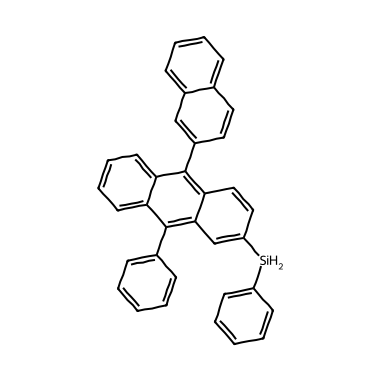 c1ccc([SiH2]c2ccc3c(-c4ccc5ccccc5c4)c4ccccc4c(-c4ccccc4)c3c2)cc1